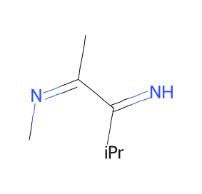 C/N=C(/C)C(=N)C(C)C